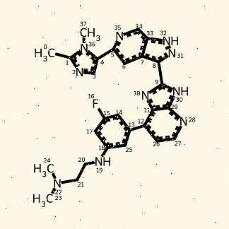 Cc1ncc(-c2cc3c(-c4nc5c(-c6cc(F)cc(NCCN(C)C)c6)ccnc5[nH]4)n[nH]c3cn2)n1C